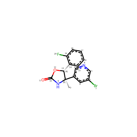 C[C@]1(c2cncc(Br)c2)NC(=O)O[C@@H]1c1ccccc1F